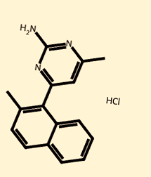 Cc1cc(-c2c(C)ccc3ccccc23)nc(N)n1.Cl